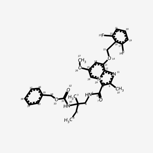 CCC(C)(CNC(=O)c1c(C)nc2c(OCc3c(F)cccc3F)cc(OC)cn12)NC(=O)OCc1ccccc1